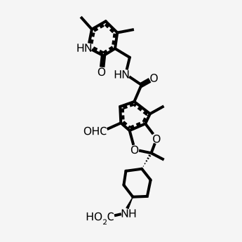 Cc1cc(C)c(CNC(=O)c2cc(C=O)c3c(c2C)OC(C)([C@H]2CC[C@H](NC(=O)O)CC2)O3)c(=O)[nH]1